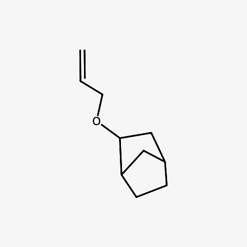 C=CCOC1CC2CCC1C2